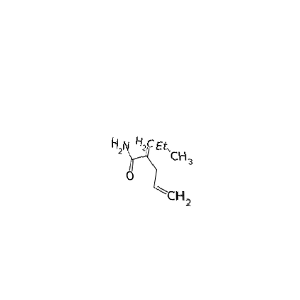 C=CCC(=C)C(N)=O.CCC